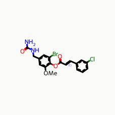 COc1cc(CNC(N)=O)cc(Br)c1OC(=O)/C=C/c1cccc(Cl)c1